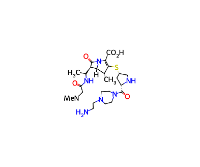 CNCC(=O)NC(C)[C@H]1C(=O)N2C(C(=O)O)=C(S[C@@H]3CN[C@H](C(=O)N4CCN(CCN)CC4)C3)[C@H](C)[C@H]12